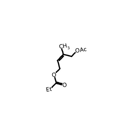 CCC(=O)OCC=C(C)COC(C)=O